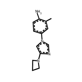 Cc1cc(-n2cnc(N3CCC3)c2)ccc1N